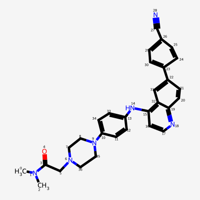 CN(C)C(=O)CN1CCN(c2ccc(Nc3ccnc4ccc(-c5ccc(C#N)cc5)cc34)cc2)CC1